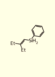 CCC(=C[SiH2]c1ccccc1)CC